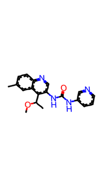 COC(C)c1c(NC(=O)Nc2cccnc2)cnc2ccc(C)cc12